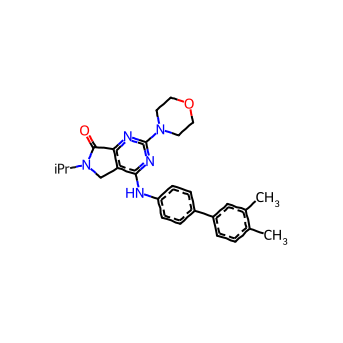 Cc1ccc(-c2ccc(Nc3nc(N4CCOCC4)nc4c3CN(C(C)C)C4=O)cc2)cc1C